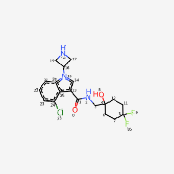 O=C(NCC1(O)CCC(F)(F)CC1)c1cn(C2CNC2)c2cccc(Cl)c12